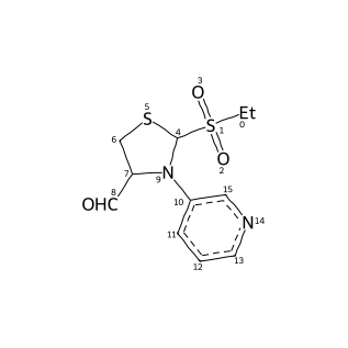 CCS(=O)(=O)C1SCC(C=O)N1c1cccnc1